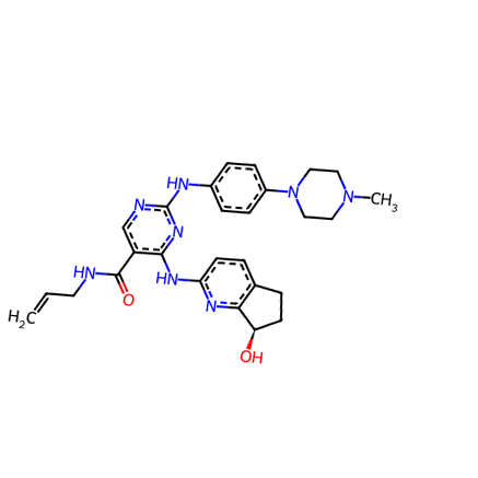 C=CCNC(=O)c1cnc(Nc2ccc(N3CCN(C)CC3)cc2)nc1Nc1ccc2c(n1)[C@H](O)CC2